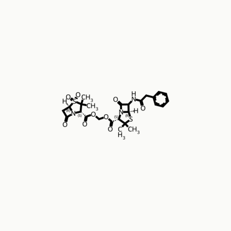 CC1(C)S[C@@H]2C(NC(=O)Cc3ccccc3)C(=O)N2[C@H]1C(=O)OCOC(=O)[C@@H]1N2C(=O)C[C@H]2S(=O)(=O)C1(C)C